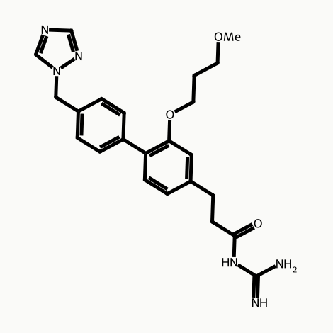 COCCCOc1cc(CCC(=O)NC(=N)N)ccc1-c1ccc(Cn2cncn2)cc1